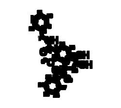 COc1c(C(=O)NCc2cccnc2)ccc2c1C(S(=O)(=O)c1ccccc1)CS2(O)O